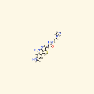 Nc1ncc(/C=C/C(=O)NCCCn2ccnc2)c2scc(-c3ccc4[nH]ccc4c3)c12